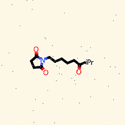 CC(C)C(=O)CCCCCN1C(=O)CCC1=O